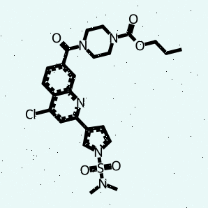 CCCOC(=O)N1CCN(C(=O)c2ccc3c(Cl)cc(-c4ccn(S(=O)(=O)N(C)C)c4)nc3c2)CC1